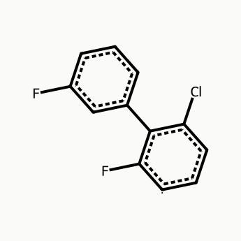 Fc1cccc(-c2c(F)[c]ccc2Cl)c1